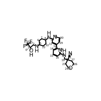 C[C@@](O)(CNC1CCC(Nc2cc(-c3cccc(NCC4(C#N)CCOCC4)n3)ccn2)CC1)C(F)(F)F